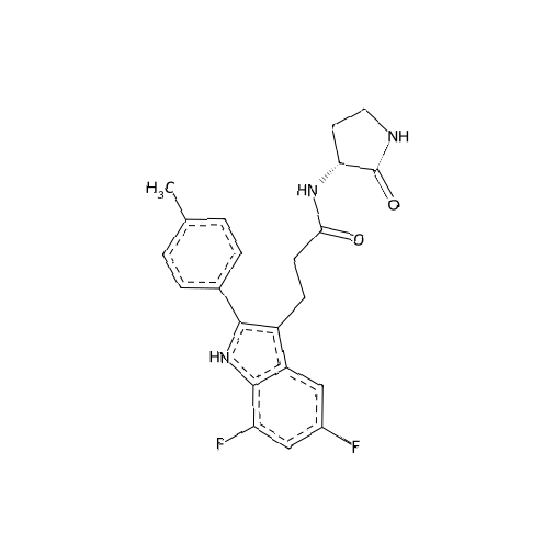 Cc1ccc(-c2[nH]c3c(F)cc(F)cc3c2CCC(=O)N[C@@H]2CCNC2=O)cc1